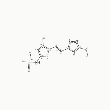 CSc1nsc(/N=N/c2sc(NS(C)(=O)=O)nc2C)n1